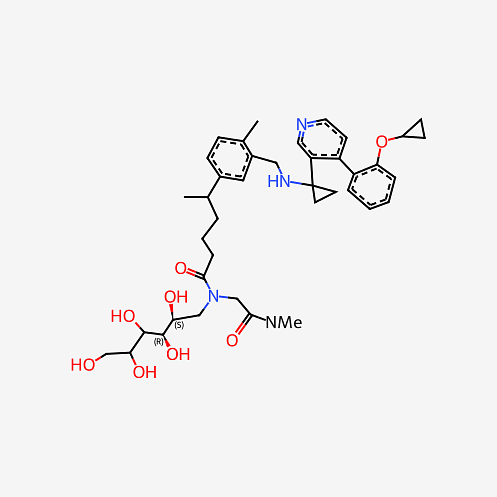 CNC(=O)CN(C[C@H](O)[C@@H](O)C(O)C(O)CO)C(=O)CCCC(C)c1ccc(C)c(CNC2(c3cnccc3-c3ccccc3OC3CC3)CC2)c1